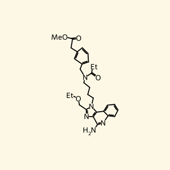 CCOCc1nc2c(N)nc3ccccc3c2n1CCCCN(Cc1cccc(CC(=O)OC)c1)C(=O)CC